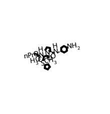 CCCOC(=O)N[C@@H](C(=O)N1CCC[C@H]1C(=O)NC[C@H]1CC[C@H](N)CC1)C(C)(C)SC1CCCC1